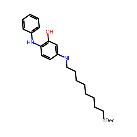 CCCCCCCCCCCCCCCCCCNc1ccc(Nc2ccccc2)c(O)c1